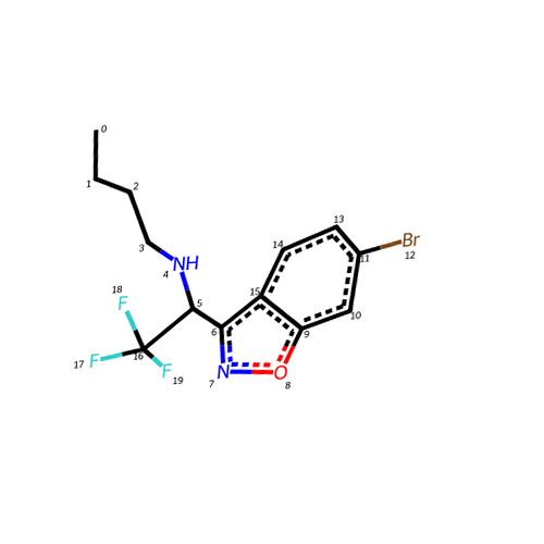 CCCCNC(c1noc2cc(Br)ccc12)C(F)(F)F